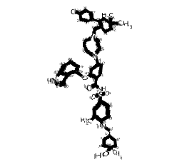 Cc1cc(S(=O)(=O)NC(=O)c2ccc(N3CCN(CC4=C(c5ccc(Cl)cc5)CC(C)(C)CC4)CC3)cc2Oc2cccc3[nH]ncc23)ccc1NC[C@H]1CC[C@@](C)(O)CC1